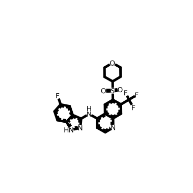 O=S(=O)(c1cc2c(Nc3n[nH]c4ccc(F)cc34)ccnc2cc1C(F)(F)F)C1CCOCC1